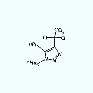 CCCCCCn1nnc(C(Cl)(Cl)C(Cl)(Cl)Cl)c1CCC